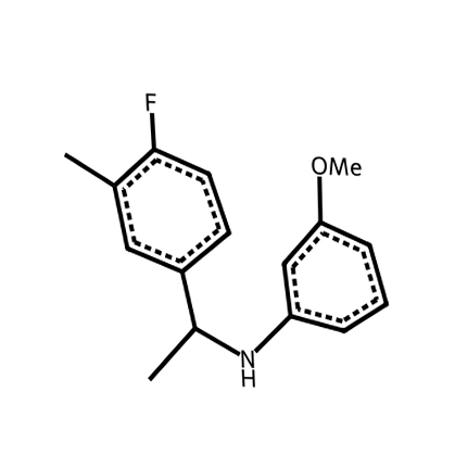 COc1cccc(NC(C)c2ccc(F)c(C)c2)c1